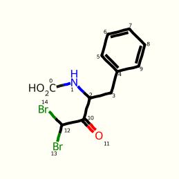 O=C(O)NC(Cc1ccccc1)C(=O)C(Br)Br